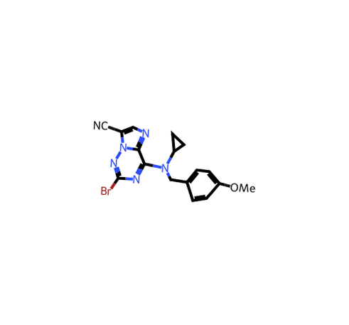 COc1ccc(CN(c2nc(Br)nn3c(C#N)cnc23)C2CC2)cc1